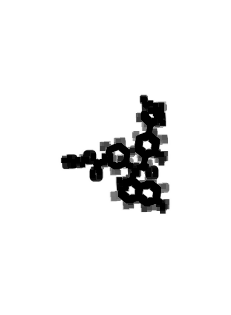 Cn1cc(-c2ccc(C(=O)N(c3nccc4cc(F)ccc34)[C@@H]3CCCN(C(=O)OC(C)(C)C)C3)c(F)c2)nn1